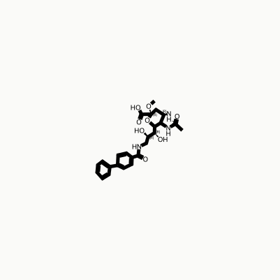 CO[C@]1(C(=O)O)C[C@@H](N)C(NC(C)=O)C([C@H](O)[C@H](O)CNC(=O)c2ccc(-c3ccccc3)cc2)O1